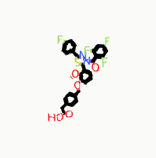 COc1c(OCc2ccc(CC(=O)O)cc2)cccc1C1SC(c2ccc(F)cc2)=NN1C(=O)c1c(F)cc(F)cc1F